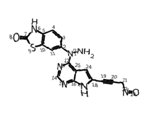 NN(c1ccc2[nH]c(=O)sc2c1)c1ncnc2[nH]c(C#CCN=O)cc12